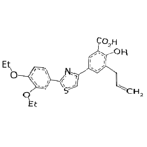 C=CCc1cc(-c2csc(-c3ccc(OCC)c(OCC)c3)n2)cc(C(=O)O)c1O